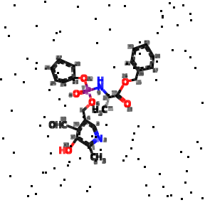 Cc1ncc(COP(=O)(N[C@@H](C)C(=O)OCc2ccccc2)Oc2ccccc2)c(C=O)c1O